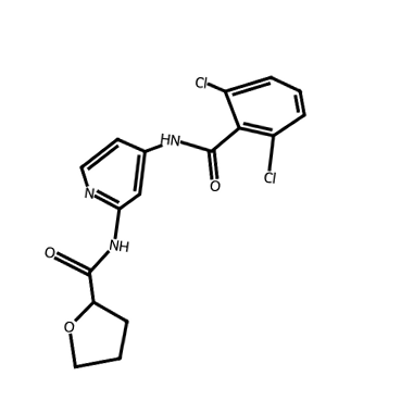 O=C(Nc1ccnc(NC(=O)C2CCCO2)c1)c1c(Cl)cccc1Cl